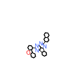 c1ccc2c(c1)-c1nc(-c3ccc4ccccc4c3)nc3nc(-c4cccc5oc6ccccc6c45)nc-2c13